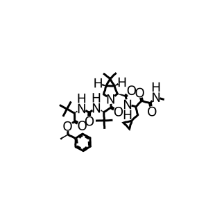 CNC(=O)C(=O)C(CC1CC1)NC(=O)[C@@H]1[C@@H]2[C@H](CN1C(=O)[C@@H](NC(=O)N[C@H](C(=O)O[C@H](C)c1ccccc1)C(C)(C)C)C(C)(C)C)C2(C)C